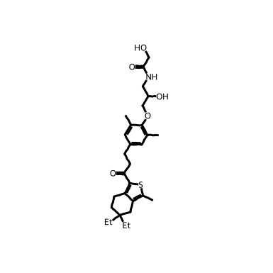 CCC1(CC)CCc2c(C(=O)CCc3cc(C)c(OCC(O)CNC(=O)CO)c(C)c3)sc(C)c2C1